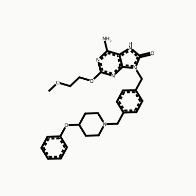 COCCOc1nc(N)c2[nH]c(=O)n(Cc3ccc(CN4CCC(Oc5ccccc5)CC4)cc3)c2n1